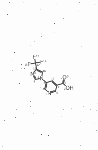 O=C(O)c1cncc(-n2cnc(C(F)(F)F)c2)c1